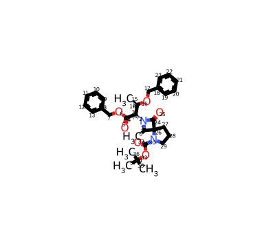 CC1N([C@H](C(=O)OCc2ccccc2)[C@@H](C)OCc2ccccc2)C(=O)C12CCCN2C(=O)OC(C)(C)C